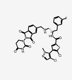 Cn1ncc(Cl)c1-c1cc(C(=O)N[C@H](CNCc2ccc3c(c2)C(=O)N(N2CCC(=O)NC2=O)C3=O)Cc2cccc(F)c2)sc1Cl